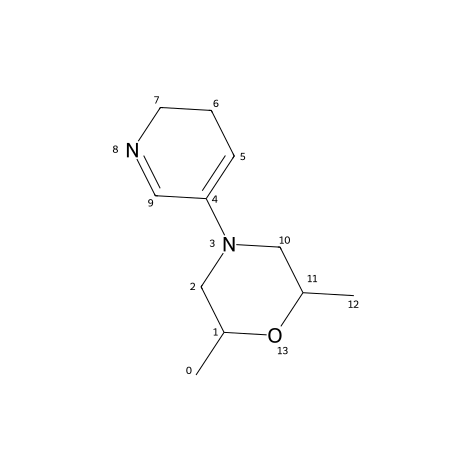 CC1CN(C2=CCCN=C2)CC(C)O1